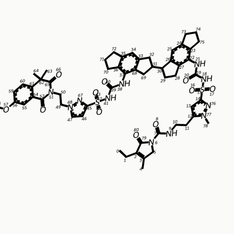 CCC1=C(C)CN(C(=O)NCCc2cc(S(=O)(=O)NC(=O)Nc3c4c(cc5c3CCC5C3Cc5cc6c(c(NC(=O)NS(=O)(=O)c7ccn(CCN8C(=O)c9cc(OC)ccc9C(C)(C)C8=O)n7)c5C3)CCC6)CCC4)nn2C)C1=O